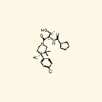 C[C@@H](O)[C@@H](NC(=O)C1CCCC1)C(=O)N1CC[C@](O)(c2ccc(Cl)cc2)C(C)(C)C1